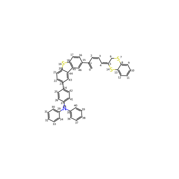 C=C(/C=C\C=C1/CSc2ccccc2S1)c1ccc2sc3ccc(-c4ccc(N(c5ccccc5)c5ccccc5)cc4)cc3c2c1